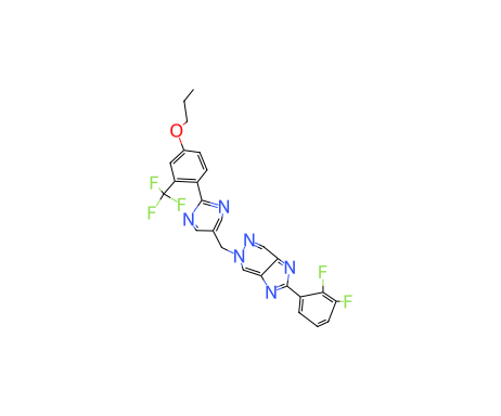 CCCOc1ccc(-c2ncc(Cn3cc4nc(-c5cccc(F)c5F)nc-4cn3)cn2)c(C(F)(F)F)c1